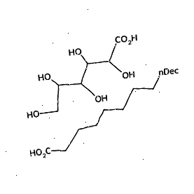 CCCCCCCCCCCCCCCCCC(=O)O.O=C(O)C(O)C(O)C(O)C(O)CO